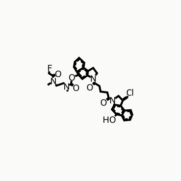 CN(CCN(C)C(=O)Oc1cc2c(c3ccccc13)CCN2C(=O)CCCC(=O)N1C/C(=C\Cl)c2c1cc(O)c1ccccc21)C(=O)CF